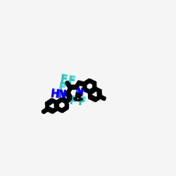 Cc1ccc2c(c1)CCC1=C/C(=C(/c3cc4c([nH]3)-c3ccc(C)cc3CC4)C(F)(F)F)[N+](B(F)F)=C12